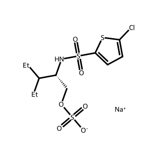 CCC(CC)[C@@H](COS(=O)(=O)[O-])NS(=O)(=O)c1ccc(Cl)s1.[Na+]